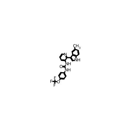 Cc1ccc2[nH]cc(-c3ncccc3NC(=O)Nc3ccc(OC(F)(F)F)cc3)c2c1